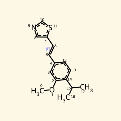 COc1cc(/C=C/c2cncs2)ccc1C(C)C